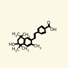 Cc1cc2c(cc1C=Cc1ccc(C(=O)O)cc1)C(C)(C)CC(O)C2(C)C